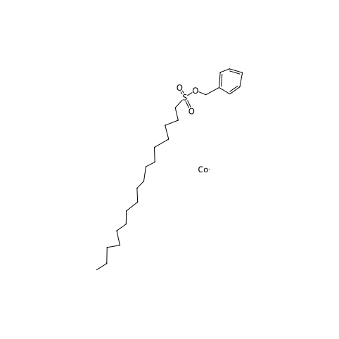 CCCCCCCCCCCCCCCCCS(=O)(=O)OCc1ccccc1.[Co]